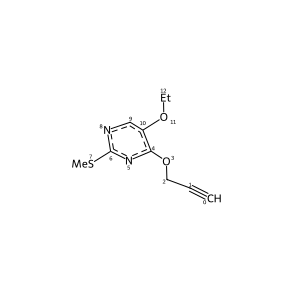 C#CCOc1nc(SC)ncc1OCC